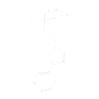 CC1(C)OB(c2cnn(-c3cncnc3)c2)OC1(C)C